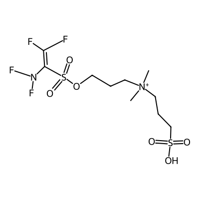 C[N+](C)(CCCOS(=O)(=O)C(=C(F)F)N(F)F)CCCS(=O)(=O)O